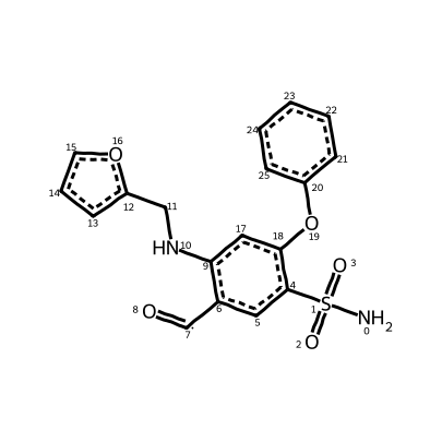 NS(=O)(=O)c1cc([C]=O)c(NCc2ccco2)cc1Oc1ccccc1